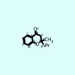 CCCC1(C)CC(=O)c2ccccc2O1